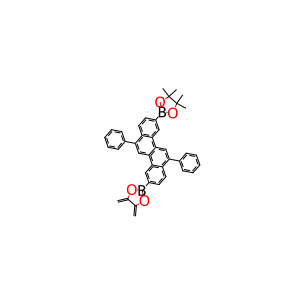 C=C1OB(c2ccc3c(-c4ccccc4)cc4c5cc(B6OC(C)(C)C(C)(C)O6)ccc5c(-c5ccccc5)cc4c3c2)OC1=C